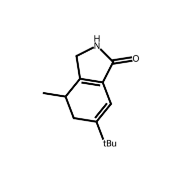 CC1CC(C(C)(C)C)=CC2=C1CNC2=O